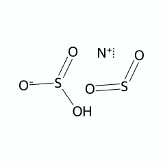 O=S([O-])O.O=S=O.[N+]